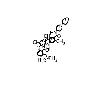 COc1cc(C(=O)NC2CCN(C3CCOCC3)CC2)c(C)cc1Nc1ncc(Cl)c(Oc2cccc(CN(C)C)c2C=O)n1